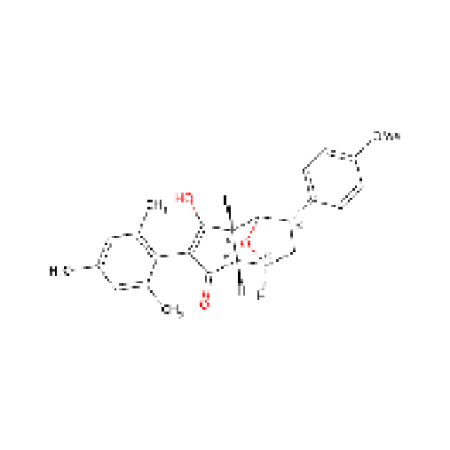 COc1ccc([C@@H]2C[C@@H]3OC2[C@H]2C(O)=C(c4c(C)cc(C)cc4C)C(=O)[C@@H]32)cc1